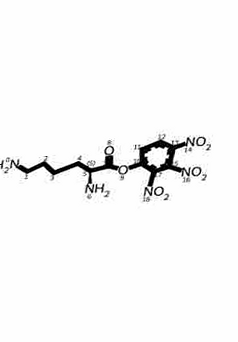 NCCCC[C@H](N)C(=O)Oc1ccc([N+](=O)[O-])c([N+](=O)[O-])c1[N+](=O)[O-]